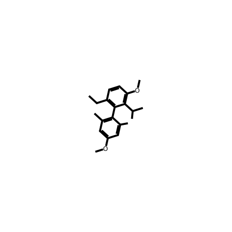 CCc1ccc(OC)c(C(C)C)c1-c1c(C)cc(OC)cc1C